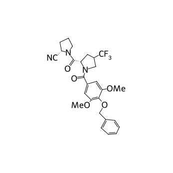 COc1cc(C(=O)N2CC(C(F)(F)F)C[C@H]2C(=O)N2CCC[C@H]2C#N)cc(OC)c1OCc1ccccc1